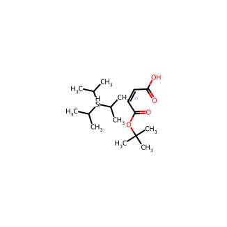 CC(C)(C)OC(=O)/C=C\C(=O)O.CC(C)[SiH](C(C)C)C(C)C